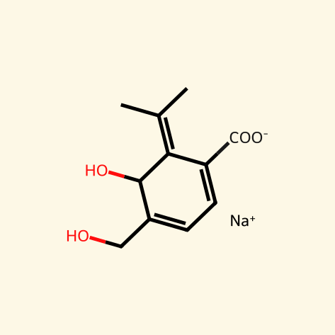 CC(C)=C1C(C(=O)[O-])=CC=C(CO)C1O.[Na+]